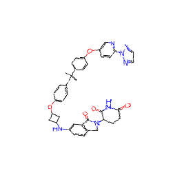 CC(C)(c1ccc(Oc2ccc(-n3nccn3)nc2)cc1)c1ccc(OC2CC(Nc3ccc4c(c3)C(=O)N(C3CCC(=O)NC3=O)C4)C2)cc1